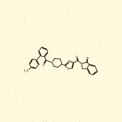 O=C(c1ccccc1-c1ccc(C(F)(F)F)cc1)N1CCC(c2nc(C(=O)N3Cc4ccccc4C3=O)cs2)CC1